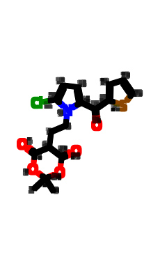 CC1(C)OC(=O)C(CCn2c(Cl)ccc2C(=O)c2cccs2)C(=O)O1